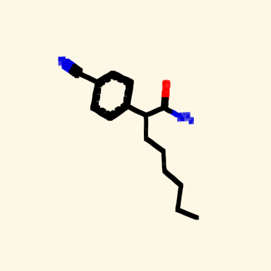 CCCCCCC(C(N)=O)c1ccc(C#N)cc1